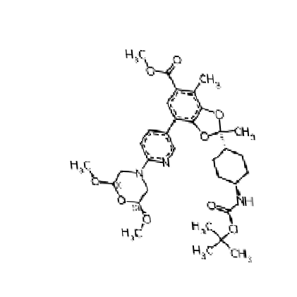 COC(=O)c1cc(-c2ccc(N3C[C@H](OC)O[C@H](OC)C3)nc2)c2c(c1C)OC(C)([C@H]1CC[C@H](NC(=O)OC(C)(C)C)CC1)O2